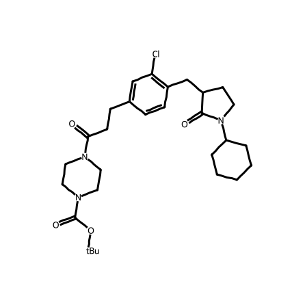 CC(C)(C)OC(=O)N1CCN(C(=O)CCc2ccc(CC3CCN(C4CCCCC4)C3=O)c(Cl)c2)CC1